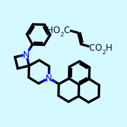 O=C(O)C=CC(=O)O.c1ccc(N2CCC23CCN(C2CCC4CCCc5cccc2c54)CC3)cc1